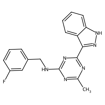 Cc1nc(NCc2cccc(F)c2)nc(-c2n[nH]c3ccccc23)n1